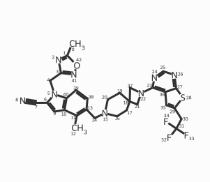 Cc1nc(Cn2c(C#N)cc3c(C)c(CN4CCC5(CC4)CN(c4ncnc6sc(CC(F)(F)F)cc46)C5)ccc32)no1